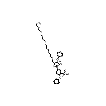 CCCCCCCCCCCCCCCCCCC1=NN(c2ccc(Oc3ccccc3)c(S(=O)(=O)O)c2)C(=O)C1S(=O)(=O)c1ccccc1